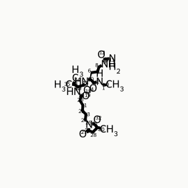 CCNC(=O)[C@H](CCCNC(N)=O)NC(=O)[C@@H](NC(=O)CCCCCN1C(=O)CC(C)C1=O)C(C)C